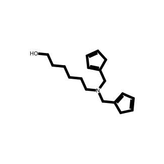 OCCCCCCN(CC1=CC=CC1)CC1=CC=CC1